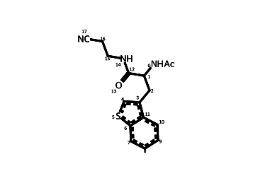 CC(=O)NC(Cc1csc2ccccc12)C(=O)NCCC#N